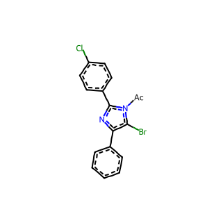 CC(=O)n1c(-c2ccc(Cl)cc2)nc(-c2ccccc2)c1Br